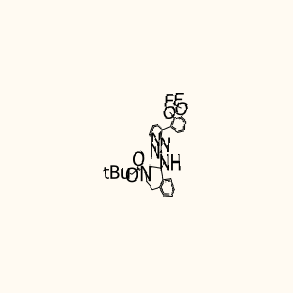 CC(C)(C)OC(=O)N1CCc2ccccc2C(Nc2nc3c(-c4cccc5c4OC(F)(F)O5)cccn3n2)C1